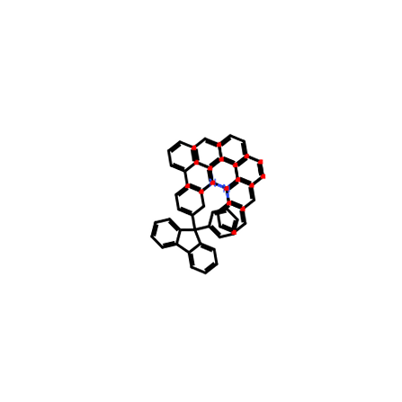 C1=CC(N(c2ccccc2)c2cccc3ccc4cccc(-c5c(N(c6ccccc6)c6ccccc6)ccc6ccccc56)c4c23)CC(C2(c3ccccc3)c3ccccc3-c3ccccc32)=C1